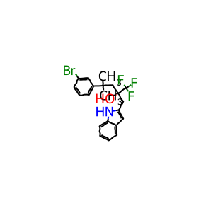 CC(C)(CC(O)(Cc1cc2ccccc2[nH]1)C(F)(F)F)c1cccc(Br)c1